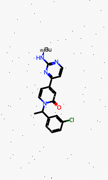 CC[C@H](C)Nc1nccc(-c2ccn(C(C)c3cccc(Cl)c3)c(=O)c2)n1